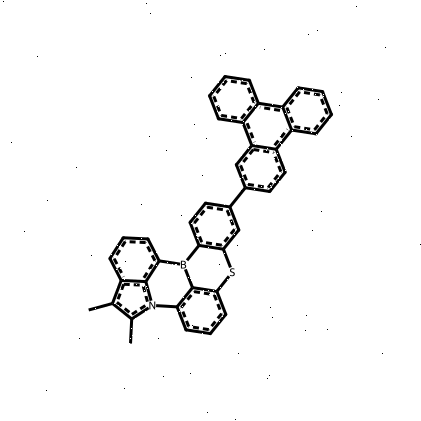 Cc1c(C)n2c3c(cccc13)B1c3ccc(-c4ccc5c6ccccc6c6ccccc6c5c4)cc3Sc3cccc-2c31